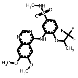 CNS(=O)(=O)c1ccc(OC(C)C(F)(F)F)c(Nc2ncnc3cc(OC)c(OC)cc23)c1